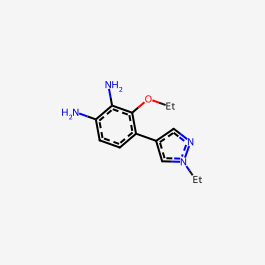 CCOc1c(-c2cnn(CC)c2)ccc(N)c1N